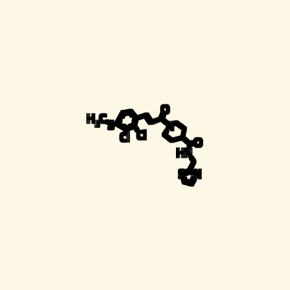 CSc1ccc(/C=C/C(=O)N2CCC(C(=O)NCc3nccs3)CC2)c(Cl)c1Cl